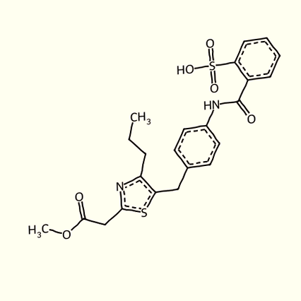 CCCc1nc(CC(=O)OC)sc1Cc1ccc(NC(=O)c2ccccc2S(=O)(=O)O)cc1